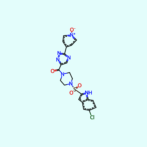 O=C(c1cnc(-c2cc[n+]([O-])cc2)nn1)N1CCN(S(=O)(=O)c2cc3cc(Cl)ccc3[nH]2)CC1